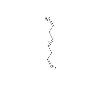 C=CC/[C]=C/CC=C